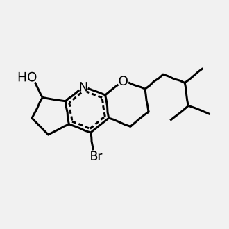 CC(C)C(C)CC1CCc2c(nc3c(c2Br)CCC3O)O1